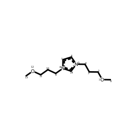 COCCCn1cc[n+](CCCOC)c1